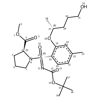 COC(=O)[C@@H]1CCCN1[S@@](=O)(=NC(=O)OC(C)(C)C)c1ccc(C)nc1O[C@H](C)CCCO